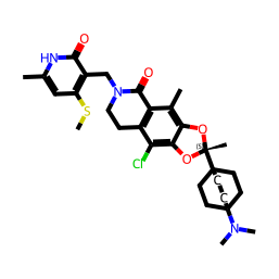 CSc1cc(C)[nH]c(=O)c1CN1CCc2c(Cl)c3c(c(C)c2C1=O)O[C@](C)(C12CCC(N(C)C)(CC1)CC2)O3